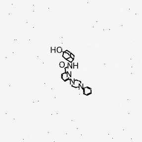 O=C(NC1C2CC3CC1CC(O)(C3)C2)c1cccc(N2CCN(c3ccccc3)CC2)n1